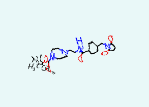 CC(C)(C)OC(=O)N1CCN(CCNC(=O)C2CCC(CN3C(=O)C=CC3=O)CC2)CC1